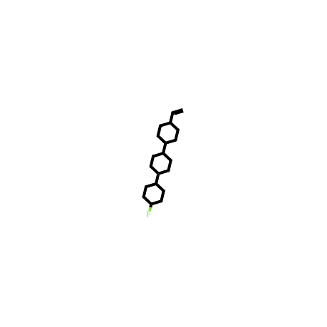 C=CC1CCC(C2CCC(C3CCC(F)CC3)CC2)CC1